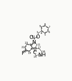 O=C(OCc1ccccc1)N1CC2(CCNCC2)c2cc(F)ccc21